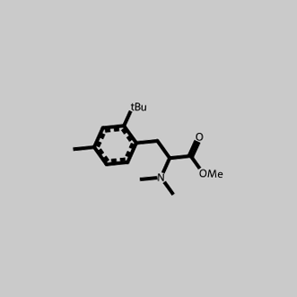 COC(=O)C(Cc1ccc(C)cc1C(C)(C)C)N(C)C